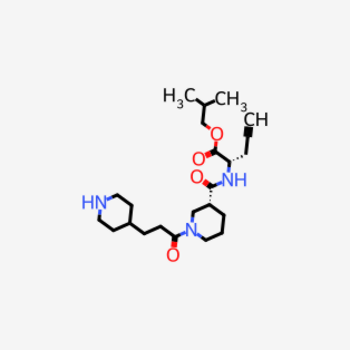 C#CC[C@H](NC(=O)[C@@H]1CCCN(C(=O)CCC2CCNCC2)C1)C(=O)OCC(C)C